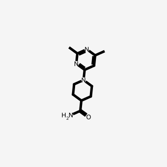 Cc1cc(N2CCC(C(N)=O)CC2)nc(C)n1